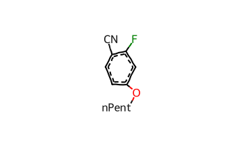 CCCCCOc1ccc(C#N)c(F)c1